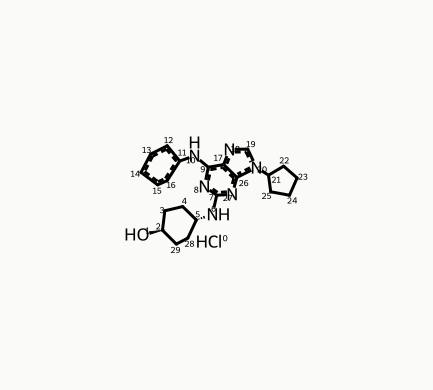 Cl.O[C@H]1CC[C@H](Nc2nc(Nc3ccccc3)c3ncn(C4CCCC4)c3n2)CC1